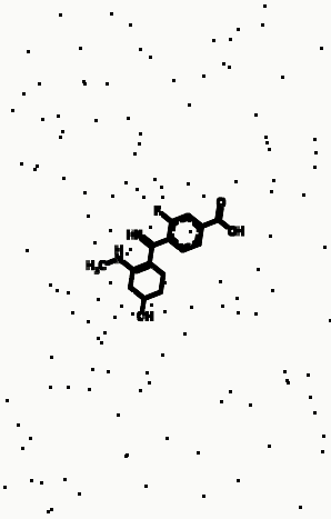 CNC1=C(C(=N)c2ccc(C(=O)O)cc2F)CCC(O)C1